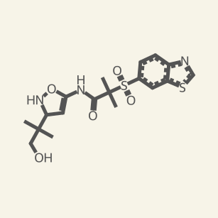 CC(C)(CO)C1C=C(NC(=O)C(C)(C)S(=O)(=O)c2ccc3ncsc3c2)ON1